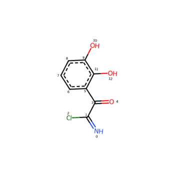 N=C(Cl)C(=O)c1cccc(O)c1O